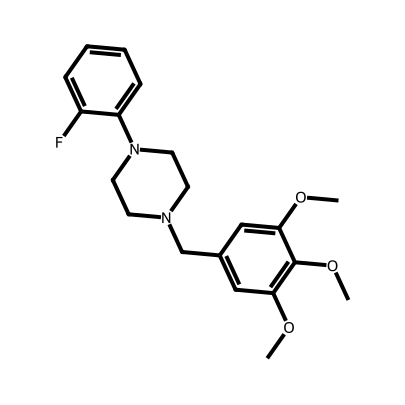 COc1cc(CN2CCN(c3ccccc3F)CC2)cc(OC)c1OC